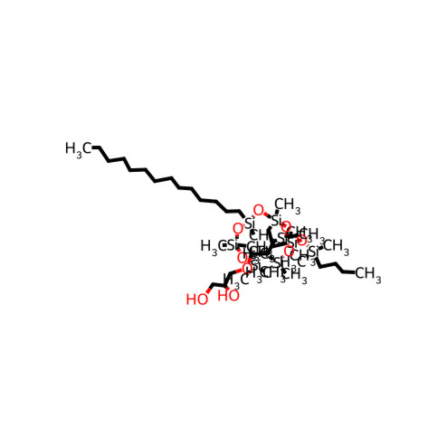 CCCCCCCCCCCCCC[Si](C)(O[Si](C)(C)O[Si](C)(C)C)O[Si](C)(CC[Si](C)(C)O[Si](C)(C)CCCC)O[Si](C)(CCCOCC(O)CO)O[Si](C)(C)C